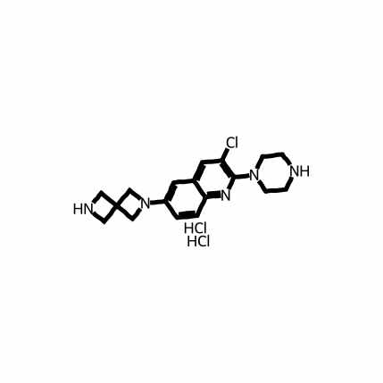 Cl.Cl.Clc1cc2cc(N3CC4(CNC4)C3)ccc2nc1N1CCNCC1